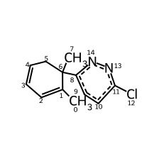 CC1=CC=CCC1(C)c1ccc(Cl)nn1